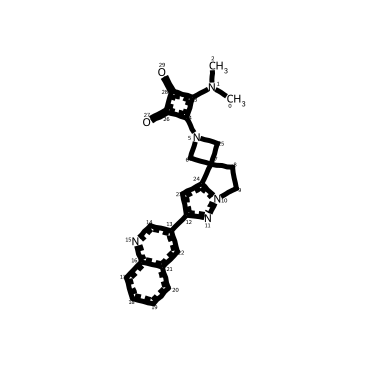 CN(C)c1c(N2CC3(CCn4nc(-c5cnc6ccccc6c5)cc43)C2)c(=O)c1=O